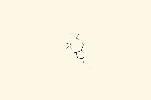 B[C@@H]1O[C@@H]2CO[Si](C(C)C)(C(C)C)O[Si](C(C)C)(C(C)C)O[C@H]2[C@@H]1OC(C)=O